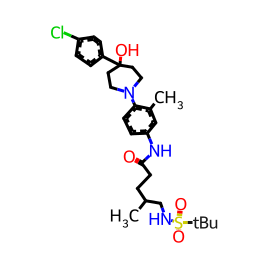 Cc1cc(NC(=O)CCC(C)CNS(=O)(=O)C(C)(C)C)ccc1N1CCC(O)(c2ccc(Cl)cc2)CC1